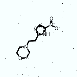 O=[N+]([O-])c1cnc(CCN2CCOCC2)[nH]1